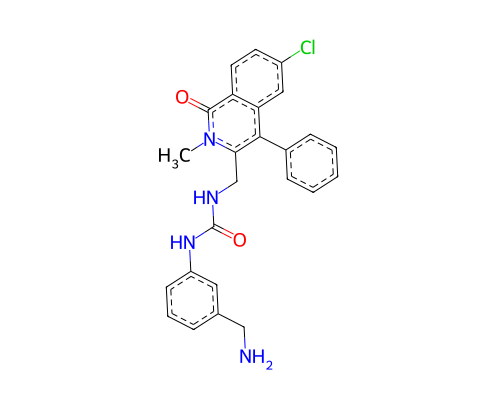 Cn1c(CNC(=O)Nc2cccc(CN)c2)c(-c2ccccc2)c2cc(Cl)ccc2c1=O